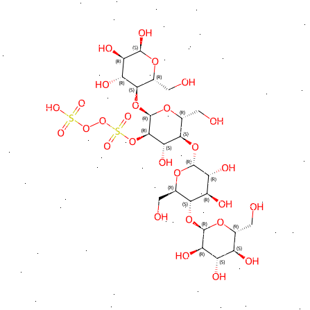 O=S(=O)(O)OOS(=O)(=O)O[C@H]1[C@@H](O[C@H]2[C@H](O)[C@@H](O)[C@@H](O)O[C@@H]2CO)O[C@H](CO)[C@@H](O[C@H]2O[C@H](CO)[C@@H](O[C@H]3O[C@H](CO)[C@@H](O)[C@H](O)[C@H]3O)[C@H](O)[C@H]2O)[C@@H]1O